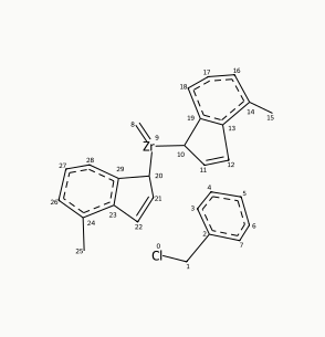 ClCc1ccccc1.[CH2]=[Zr]([CH]1C=Cc2c(C)cccc21)[CH]1C=Cc2c(C)cccc21